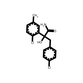 Cc1ccc(Cl)c(C(O)(Cc2ccc(Cl)cc2)C(N)=O)c1